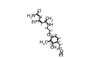 C=C(/C=C(CC)\N=C(/N)Cl)NCCOc1ccc(CCOCC)c(C)c1C